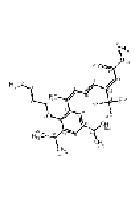 CCCCOc1c(\C(C)=C/C=C/C(=C\C(=O)OC)C(F)(F)F)cc(C(C)C)cc1C(C)C